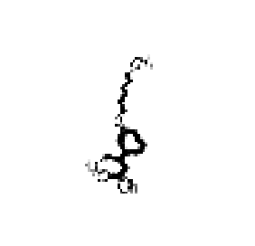 CCCCC=CCOc1cccc(C(CC)CC(=O)O)c1